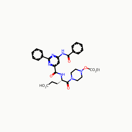 CCOC(=O)ON1CCN(C(=O)[C@H](CCC(=O)O)NC(=O)c2cc(NC(=O)c3ccccc3)nc(-c3ccccc3)n2)CC1